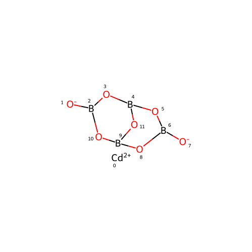 [Cd+2].[O-]B1OB2OB([O-])OB(O1)O2